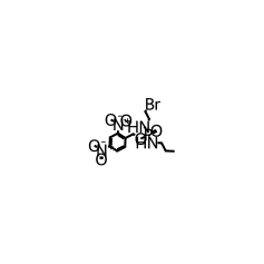 CCCNP(=O)(NCCBr)OCc1ccc([N+](=O)[O-])cc1[N+](=O)[O-]